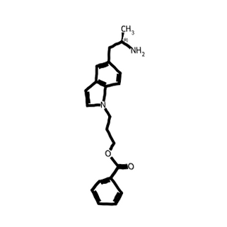 C[C@@H](N)Cc1ccc2c(ccn2CCCOC(=O)c2ccccc2)c1